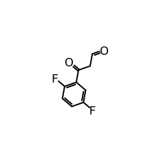 O=CCC(=O)c1cc(F)ccc1F